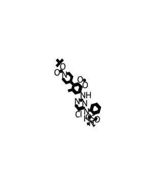 Cc1cc(Nc2ncc(Cl)c(Nc3ccccc3S(=O)(=O)N(C)C)n2)c2c(c1C1CCN(C(=O)OC(C)(C)C)CC1)OCO2